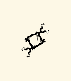 COCCC(CCOC)c1cc2cc3nc(cc4[nH]c(cc5nc(cc1[nH]2)C(C)(C)C5)cc4C(CCOC)CCOC)C(C)(C)C3